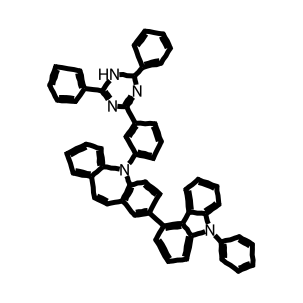 C1=Cc2cc(-c3cccc4c3c3ccccc3n4-c3ccccc3)ccc2N(c2cccc(C3=NC(c4ccccc4)NC(c4ccccc4)=N3)c2)c2ccccc21